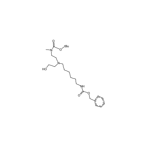 CN(CCN(CCO)CCCCCCNC(=O)OCc1ccccc1)C(=O)OC(C)(C)C